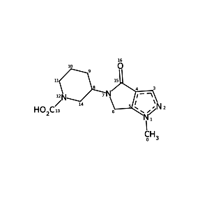 Cn1ncc2c1CN(C1CCCN(C(=O)O)C1)C2=O